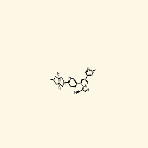 CC1C[C@@H]2CN(c3ccc(-c4cc(-c5cnn(C)c5)cn5ncc(C#N)c45)cn3)C[C@@H]2C1